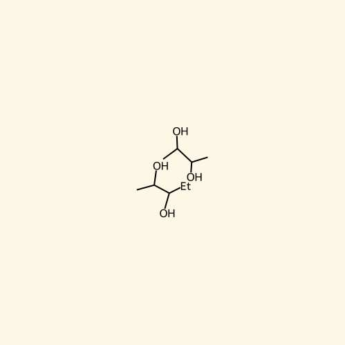 CC(O)C(C)O.CCC(O)C(C)O